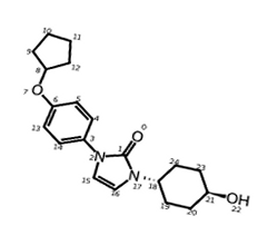 O=c1n(-c2ccc(OC3CCCC3)cc2)ccn1[C@H]1CC[C@H](O)CC1